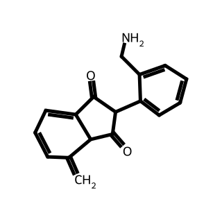 C=C1C=CC=C2C(=O)C(c3ccccc3CN)C(=O)C12